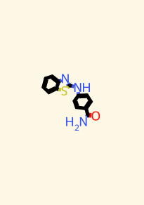 NC(=O)c1ccc(Nc2nc3ccccc3s2)cc1